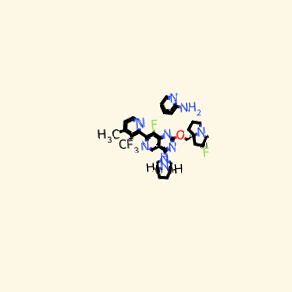 Cc1ccnc(-c2ncc3c(N4C[C@H]5CC[C@@H](C4)N5)nc(OC[C@@]45CCCN4C[C@H](F)C5)nc3c2F)c1C(F)(F)F.Nc1ccccn1